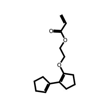 C=CC(=O)OCCOC1=C(C2=CCCC2)CCC1